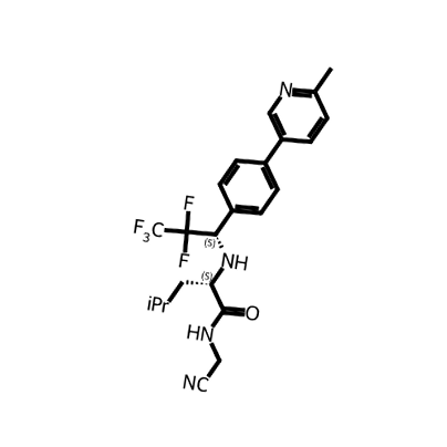 Cc1ccc(-c2ccc([C@H](N[C@@H](CC(C)C)C(=O)NCC#N)C(F)(F)C(F)(F)F)cc2)cn1